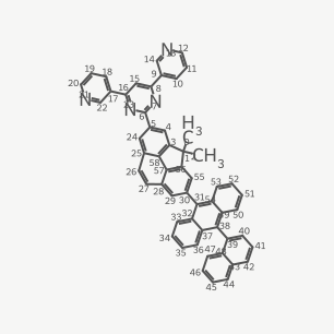 CC1(C)c2cc(-c3nc(-c4cccnc4)cc(-c4cccnc4)n3)cc3ccc4cc(-c5c6ccccc6c(-c6cccc7ccccc67)c6ccccc56)cc1c4c23